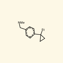 CCC1(c2ccc(CNC)cc2)CC1